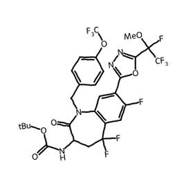 COC(F)(c1nnc(-c2cc3c(cc2F)C(F)(F)CC(NC(=O)OC(C)(C)C)C(=O)N3Cc2ccc(OC(F)(F)F)cc2)o1)C(F)(F)F